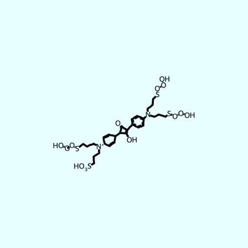 O=C1C(c2ccc(N(CCCSOOO)CCCSOOO)cc2)=C(O)C1C1C=CC(=[N+](CCCSOOO)CCCS(=O)(=O)O)C=C1